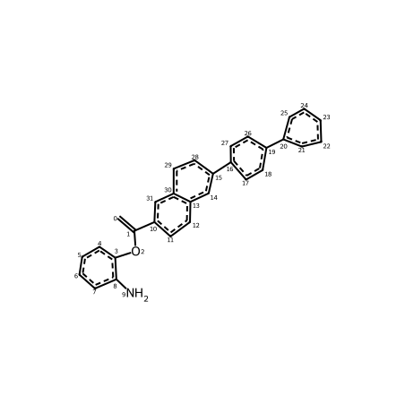 C=C(Oc1ccccc1N)c1ccc2cc(-c3ccc(-c4ccccc4)cc3)ccc2c1